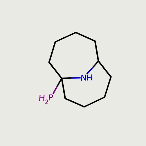 PC12CCCCC(CCCC1)N2